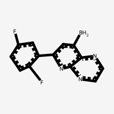 Bc1cc(-c2cc(F)ccc2F)nc2nccnc12